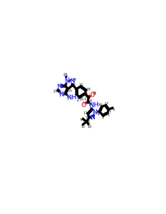 Cc1ccc(-n2nc(C(C)(C)C)cc2NC(=O)C(=O)c2ccc(-c3nn(C)c4ncnc(N)c34)cc2)cc1